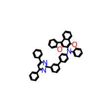 c1ccc(-c2cc(-c3ccccc3)nc(-c3cccc(-c4ccc(N5c6ccccc6Oc6c5c5oc7ccccc7c5c5ccccc65)cc4)c3)n2)cc1